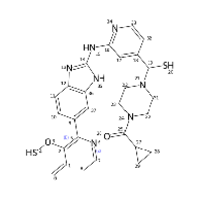 C=C/C(OS)=C(\N=C/C)c1ccc2nc(Nc3cc(C(S)N4CCN(C(=O)C5CC5)CC4)ccn3)[nH]c2c1